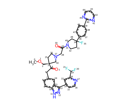 COC[C@@]1(C(=O)Cc2ccc3[nH]nc(-c4ccnc(C(F)F)c4)c3c2)CCN(CC(=O)N2CCC(F)(c3ccc(-c4ncccn4)cc3)CC2)C1